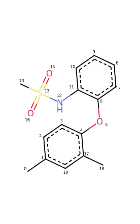 Cc1ccc(Oc2ccccc2NS(C)(=O)=O)c(C)c1